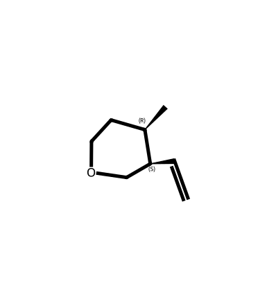 C=C[C@H]1COCC[C@H]1C